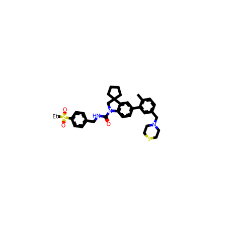 CCS(=O)(=O)c1ccc(CNC(=O)N2CC3(CCCC3)c3cc(-c4cc(CN5CCSCC5)ccc4C)ccc32)cc1